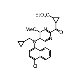 CCOC(=O)C1CC1C(=O)c1ncc(N(CC2CC2)c2ccc(Cl)c3ccccc23)c(OC)n1